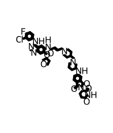 O=C(/C=C/CN1CCC(CN2CCC[C@H](Nc3ccc4c(c3)C(=O)N(C3CCC(=O)NC3=O)C4=O)C2)CC1)Nc1cc2c(Nc3ccc(F)c(Cl)c3)ncnc2cc1O[C@H]1CCOC1